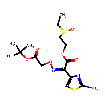 CC[S+]([O-])CCOC(=O)C(=NOCC(=O)OC(C)(C)C)c1csc(N)n1